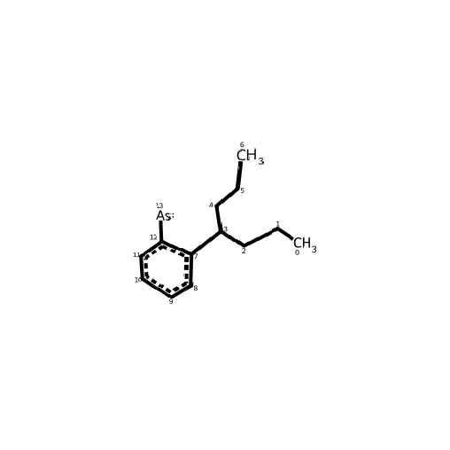 CCCC(CCC)c1ccccc1[As]